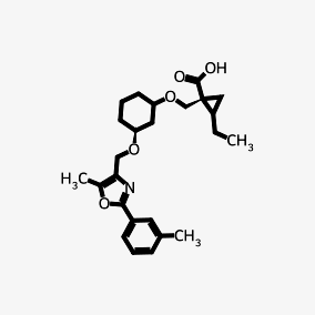 CCC1C[C@@]1(COC1CCC[C@H](OCc2nc(-c3cccc(C)c3)oc2C)C1)C(=O)O